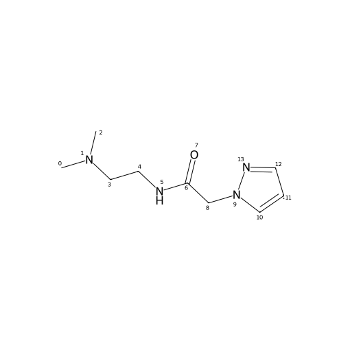 CN(C)CCNC(=O)Cn1c[c]cn1